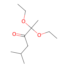 CCOC(C)(OCC)C(=O)CC(C)C